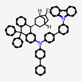 CCC1C[C@H]2C[C@@H]1C[C@H](C1c3ccccc3C(c3ccccc3)(c3ccccc3)c3ccc(N(c4ccc(-c5ccccc5)cc4)c4ccc(-c5cccc(-n6c7ccccc7c7ccccc76)c5)cc4)cc31)C2